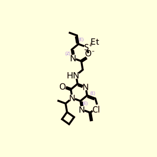 C=C(CNC1=NC(=C/C)/C(=N\C(=C)Cl)N(C(C)C2CCC2)C1=O)/N=C\C(=C/C)[S+]([O-])CC